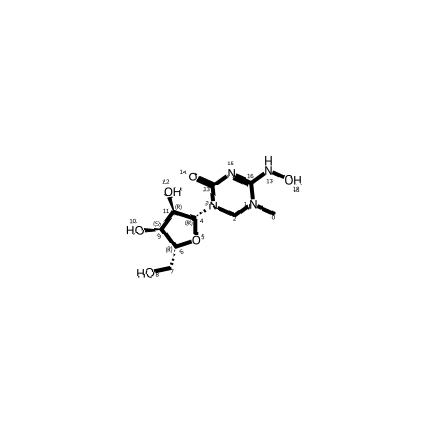 CN1CN([C@@H]2O[C@H](CO)[C@@H](O)[C@H]2O)C(=O)N=C1NO